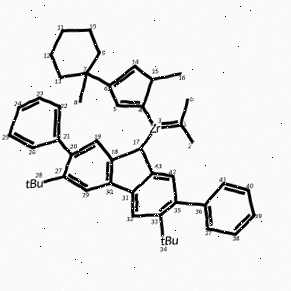 C[C](C)=[Zr]([C]1=CC(C2(C)CCCCC2)=CC1C)[CH]1c2cc(-c3ccccc3)c(C(C)(C)C)cc2-c2cc(C(C)(C)C)c(-c3ccccc3)cc21